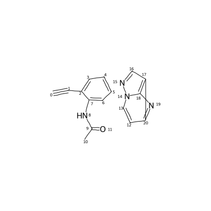 C#Cc1ccccc1NC(C)=O.c1cn2ncc3c2nc1-3